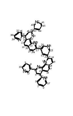 c1ccc(-c2cc(-c3cccnc3)nc3c2ccc2ccc(-c4cncc(-c5ccc6ccc7c(-c8ccccn8)cc(-c8cccnc8)nc7c6n5)c4)nc23)nc1